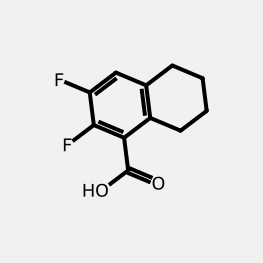 O=C(O)c1c(F)c(F)cc2c1CCCC2